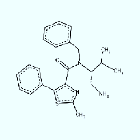 Cc1nc(C(=O)N(Cc2ccccc2)[C@@H](CN)C(C)C)c(-c2ccccc2)s1